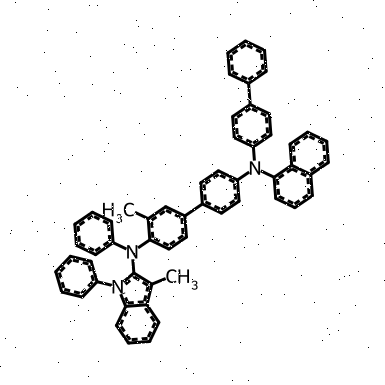 Cc1cc(-c2ccc(N(c3ccc(-c4ccccc4)cc3)c3cccc4ccccc34)cc2)ccc1N(c1ccccc1)c1c(C)c2ccccc2n1-c1ccccc1